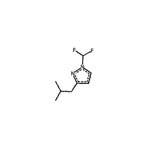 CC(C)Cc1ccn(C(F)F)n1